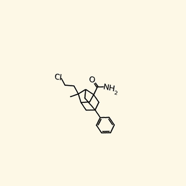 CC1(CCCl)C2CC3(c4ccccc4)CC1C(C(N)=O)(C2)C3